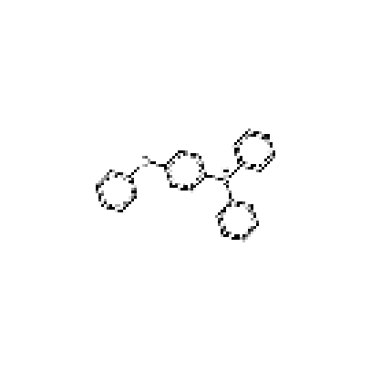 c1ccc(Oc2ccc([SH](c3ccccc3)c3ccccc3)cc2)cc1